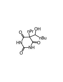 CCCCC(O)C1(CCC)C(=O)NC(=O)NC1=O